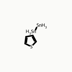 [SnH3][SnH3].c1ccsc1